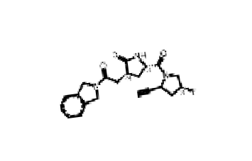 C#CC1C[C@H](F)CN1C(=O)[C@@H]1C[C@@H](CC(=O)N2Cc3ccccc3C2)C(=O)N1